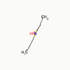 CCCCCCCCCCCCCCCCCCSCN(O)CSCCCCCCCCCCCCCCCCCC